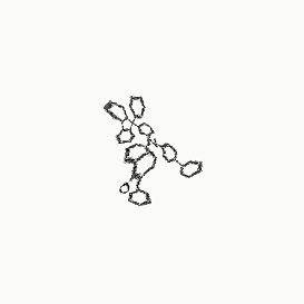 c1ccc(-c2ccc(N(c3cccc(C4(c5ccccc5)c5ccccc5-c5ccccc54)c3)c3cccc4c3ccc3c5ccccc5oc43)cc2)cc1